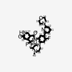 CC1CN(c2cc(F)c(-c3cccc(N4CCOCC4)n3)cc2NC(=O)c2c[nH]c(=O)cc2C(F)(F)F)CCN1C